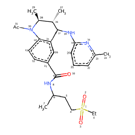 CCS(=O)(=O)CCC(C)NC(=O)c1ccc2c(c1)C(Nc1cccc(C)n1)[C@@H](C)[C@H](C)N2C(C)=O